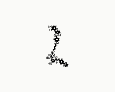 CC(C)(C)[C@H](NC(=O)COCCCCCNc1ccc(C(=O)N[C@H]2C(C)(C)[C@H](Oc3ccc(C#N)c(Cl)c3)C2(C)C)cc1)C(=O)N1C[C@H](O)C[C@H]1C(=O)NCc1ccc(-c2ncccn2)cc1